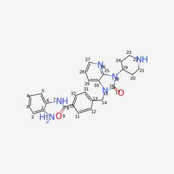 Nc1ccccc1NC(=O)c1ccc(Cn2c(=O)n(C3CCNCC3)c3ncccc32)cc1